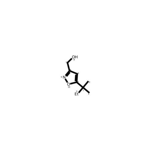 CCC(C)(C)c1cc(CO)no1